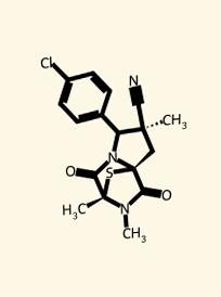 CN1C(=O)[C@@]23C[C@](C)(C#N)C(c4ccc(Cl)cc4)N2C(=O)[C@]1(C)S3